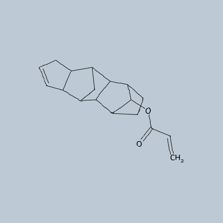 C=CC(=O)OC1C2CCC1C1C3CC(C4C=CCC43)C21